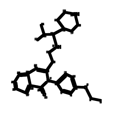 CCOc1ccc(-n2c(CCNC(C(C)C)C3CCNCC3)nc3ccccc3c2=O)cc1